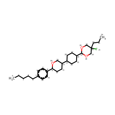 CCCCCc1ccc(C2CCC(C3CCC(C4OCC(F)(CCC)CO4)CC3)CO2)cc1